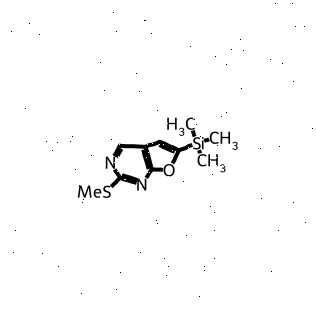 CSc1ncc2cc([Si](C)(C)C)oc2n1